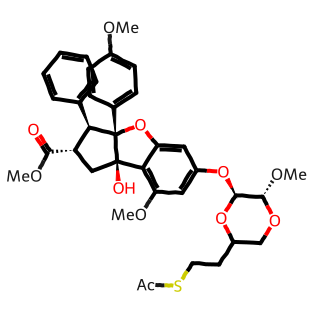 COC(=O)[C@H]1C[C@@]2(O)c3c(OC)cc(O[C@@H]4OC(CCSC(C)=O)CO[C@H]4OC)cc3O[C@@]2(c2ccc(OC)cc2)[C@@H]1c1ccccc1